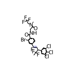 CN(CC(F)(F)F)C(=O)CNC(=O)c1ccc(/C(F)=C/C(c2cc(Cl)c(Cl)c(Cl)c2)C(C)(F)F)cc1Br